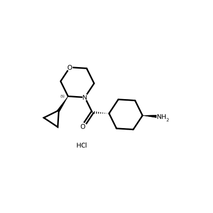 Cl.N[C@H]1CC[C@H](C(=O)N2CCOC[C@@H]2C2CC2)CC1